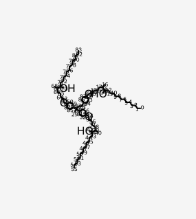 CCCCCCCCCCCCCC(O)C(C)CCCCOc1ccc(CCC(C)(c2ccc(OCCCCC(C)C(O)CCCCCCCCCCCCC)cc2)c2ccc(OCCCCC(C)C(O)CCCCCCCCCCCCC)cc2)cc1